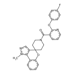 Cn1ncc2c1-c1ccccc1OC21CCN(C(=O)c2cccnc2Oc2ccc(F)cc2)CC1